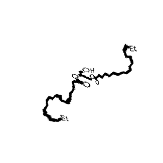 CC/C=C\C/C=C\C/C=C\C/C=C\C/C=C\CCCC(=O)O[C@@H](CO)COC(=O)CCCCCCC/C=C\C/C=C\C/C=C\CC